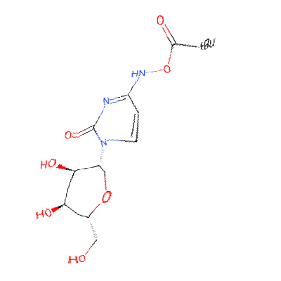 CC(C)(C)C(=O)ONc1ccn([C@@H]2O[C@H](CO)[C@@H](O)[C@H]2O)c(=O)n1